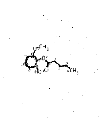 CCCCC(=O)Oc1c(O)cccc1OC